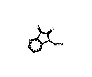 CCCCCN1C(=O)C(=O)c2ncccc21